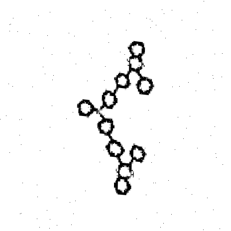 c1ccc(-c2nc3ccccc3nc2-c2ccc(-c3ccc(N(c4ccccc4)c4ccc(-c5ccc(-c6nc7ccccc7nc6-c6ccccc6)cc5)cc4)cc3)cc2)cc1